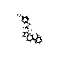 O=C(Nc1ccc(C(F)(F)F)cc1)Nc1c[nH]c2ccc(-c3c(F)cccc3F)cc12